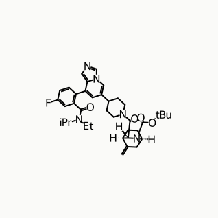 C=C1C[C@@H]2CC[C@H]1[C@H](C(=O)N1CCC(c3cc(-c4ccc(F)cc4C(=O)N(CC)C(C)C)c4cncn4c3)CC1)N2C(=O)OC(C)(C)C